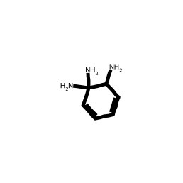 NC1C=CC=CC1(N)N